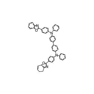 C1=Cc2oc(-c3ccc(N(c4ccccc4)c4ccc(-c5ccc(N(c6ccccc6)c6ccc(-c7nc8ccccc8o7)cc6)cc5)cc4)cc3)nc2CC1